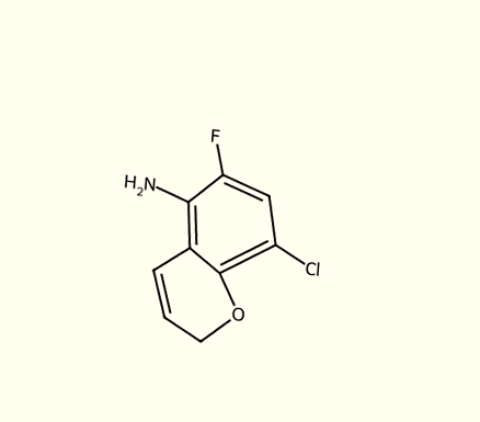 Nc1c(F)cc(Cl)c2c1C=CCO2